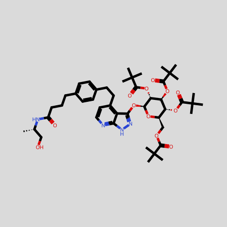 C[C@@H](CO)NC(=O)CCCc1ccc(CCc2ccnc3[nH]nc(O[C@@H]4O[C@H](COC(=O)C(C)(C)C)[C@@H](OC(=O)C(C)(C)C)[C@H](OC(=O)C(C)(C)C)[C@H]4OC(=O)C(C)(C)C)c23)cc1